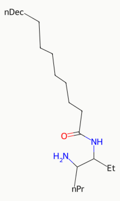 CCCCCCCCCCCCCCCCCC(=O)NC(CC)C(N)CCC